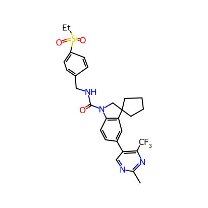 CCS(=O)(=O)c1ccc(CNC(=O)N2CC3(CCCC3)c3cc(-c4cnc(C)nc4C(F)(F)F)ccc32)cc1